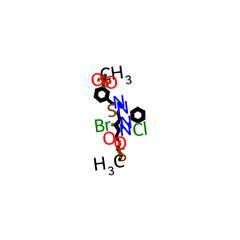 CSCOC(=O)c1nn(-c2ccccc2Cl)c(-c2nnc(-c3cccc(S(C)(=O)=O)c3)s2)c1Br